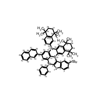 CC(C)(C)c1ccc2sc3c(c2c1)B1c2cc4c(cc2N(c2ccc5c(c2)C(C)(C)CCC5(C)C)c2cc(-c5ccc6ccccc6c5)cc(c21)N3c1ccccc1)C(C)(C)CCC4(C)C